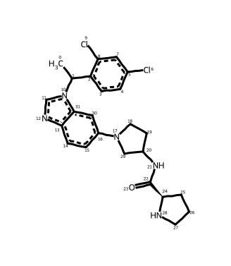 CC(c1ccc(Cl)cc1Cl)n1cnc2ccc(N3CCC(NC(=O)[C@H]4CCCN4)C3)cc21